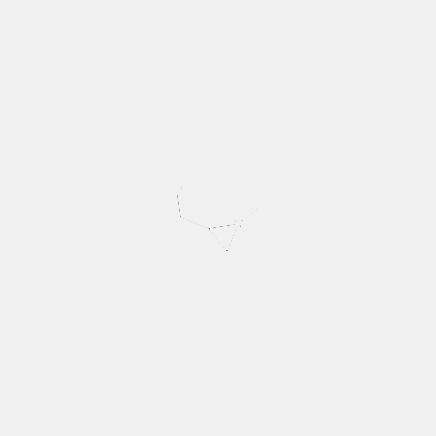 CCCC1CN1C